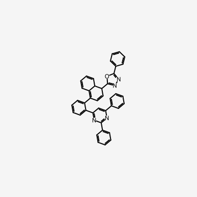 C1=CC2=C(c3ccccc3-c3cc(-c4ccccc4)nc(-c4ccccc4)n3)C=CC(c3nnc(-c4ccccc4)o3)C2C=C1